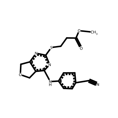 COC(=O)CCSc1nc2c(c(Nc3ccc(C#N)cc3)n1)COC2